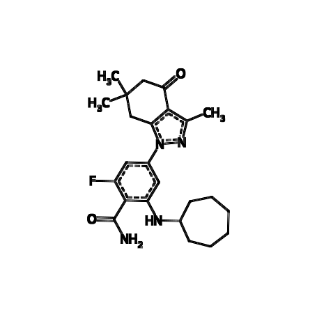 Cc1nn(-c2cc(F)c(C(N)=O)c(NC3CCCCCC3)c2)c2c1C(=O)CC(C)(C)C2